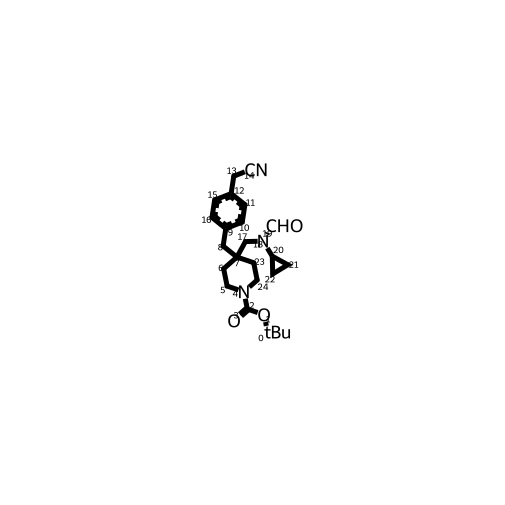 CC(C)(C)OC(=O)N1CCC(Cc2ccc(CC#N)cc2)(CN(C=O)C2CC2)CC1